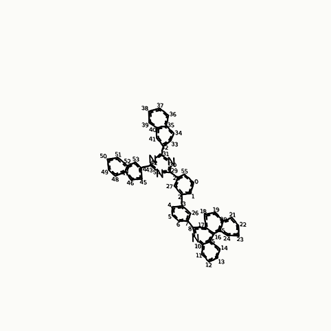 c1cc(-c2cccc(-c3nc4ccccc4c4c3ccc3ccccc34)c2)cc(-c2nc(-c3ccc4ccccc4c3)nc(-c3ccc4ccccc4c3)n2)c1